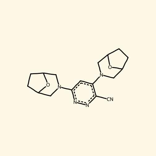 N#Cc1nnc(N2CC3CCC(C2)O3)cc1N1CC2CCC(C1)O2